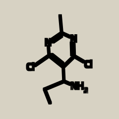 CCC(N)c1c(Cl)nc(C)nc1Cl